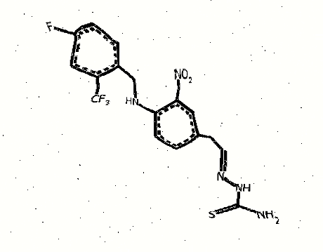 NC(=S)NN=Cc1ccc(NCc2ccc(F)cc2C(F)(F)F)c([N+](=O)[O-])c1